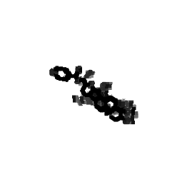 CC(C)[C@@H](OC(=O)C1CCOCC1)C1C[C@@H](C)[C@H]2C(O1)[C@H](O)[C@@]1(C)[C@@H]3CC[C@H]4C(C)(C)C(O)CC[C@@]45C[C@@]35CC[C@]21C